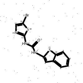 O=C(Nc1cc2ccccc2s1)Nc1ncc(Br)s1